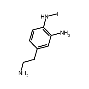 NCCc1ccc(NI)c(N)c1